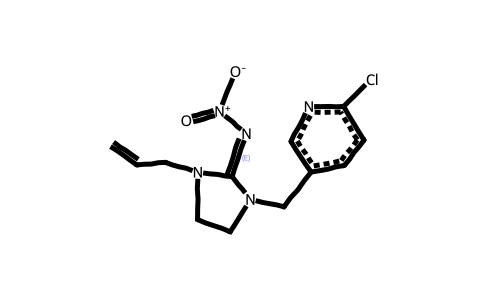 C=CCN1CCN(Cc2ccc(Cl)nc2)/C1=N/[N+](=O)[O-]